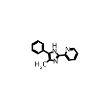 Cc1nc(-c2ccccn2)[nH]c1-c1ccccc1